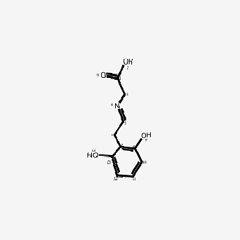 O=C(O)CN=CCc1c(O)cccc1O